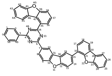 c1ccc(-c2nc(-c3ccc4oc5ccc(-c6cccc7c6oc6ccccc67)cc5c4c3)nc(-c3cccc4oc5ccccc5c34)n2)cc1